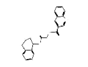 O=C(CNC(=O)c1cnc2ccccc2c1)NC1CCCc2ccccc21